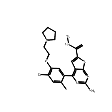 C=C(NCC)c1cc2c(-c3cc(OCCN4CCCC4)c(Cl)cc3C)nc(N)nc2s1